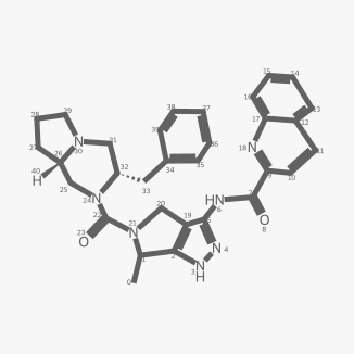 CC1c2[nH]nc(NC(=O)c3ccc4ccccc4n3)c2CN1C(=O)N1C[C@@H]2CCCN2C[C@@H]1Cc1ccccc1